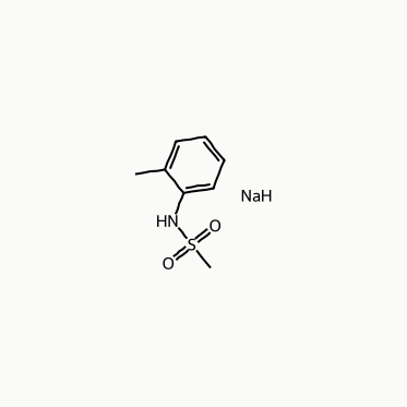 Cc1ccccc1NS(C)(=O)=O.[NaH]